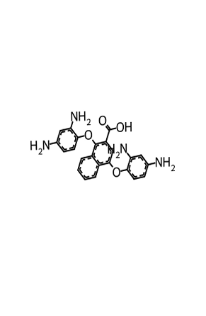 Nc1ccc(Oc2cc(C(=O)O)c(Oc3ccc(N)cc3N)c3ccccc23)c(N)c1